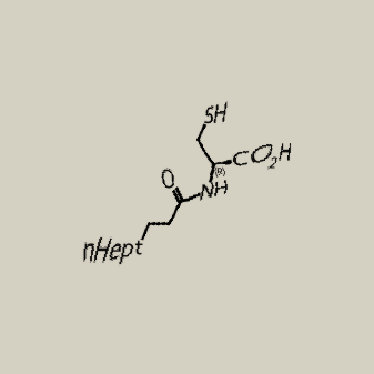 CCCCCCCCCC(=O)N[C@@H](CS)C(=O)O